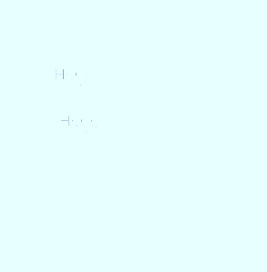 O=C(O)c1ccc(CCCc2ccccc2)cc1C(=O)O